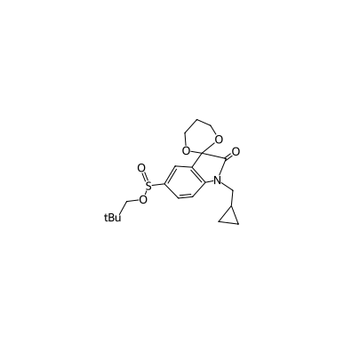 CC(C)(C)COS(=O)c1ccc2c(c1)C1(OCCCO1)C(=O)N2CC1CC1